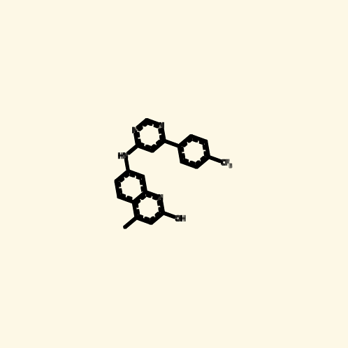 Cc1cc(O)nc2cc(Nc3cc(-c4ccc(C(F)(F)F)cc4)ncn3)ccc12